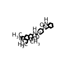 CCc1cc(CC(NC(=O)N2CCC(N3Cc4ccccc4NC3=O)CC2)C(=O)OC)cc2c(C)n[nH]c12